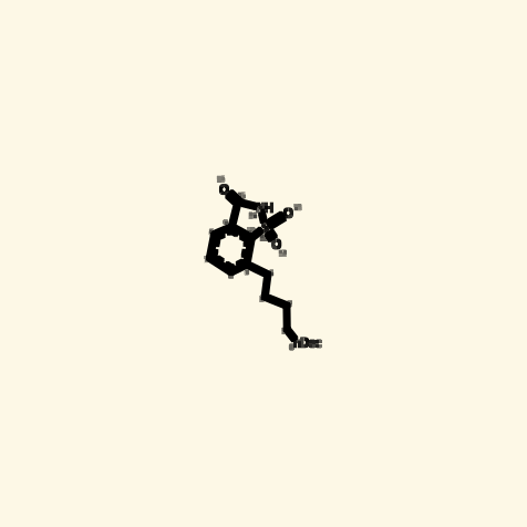 CCCCCCCCCCCCCCc1cccc2c1S(=O)(=O)NC2=O